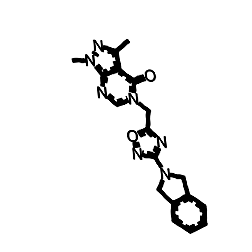 Cc1nn(C)c2ncn(Cc3nc(N4Cc5ccccc5C4)no3)c(=O)c12